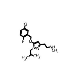 CNCCc1cc(OCc2cc(Cl)ccc2F)n(CC(C)C)n1